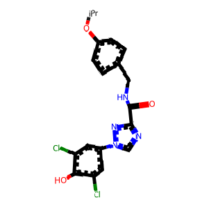 CC(C)Oc1ccc(CNC(=O)c2ncn(-c3cc(Cl)c(O)c(Cl)c3)n2)cc1